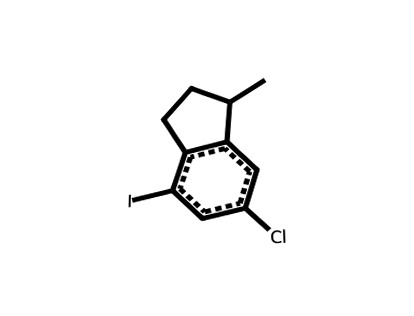 CC1CCc2c(I)cc(Cl)cc21